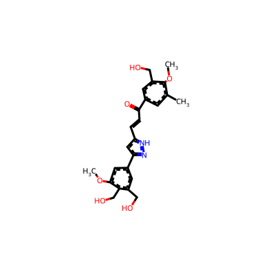 COc1cc(-c2cc(/C=C/C(=O)c3cc(C)c(OC)c(CO)c3)[nH]n2)cc(CO)c1CO